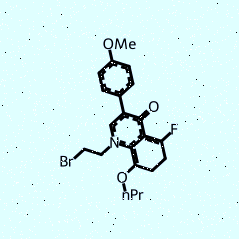 CCCOC1=c2c(c(=O)c(-c3ccc(OC)cc3)cn2CCBr)=C(F)CC1